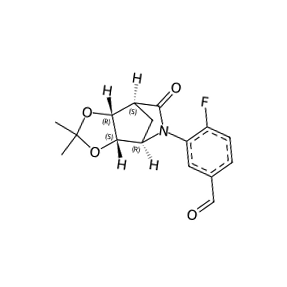 CC1(C)O[C@@H]2[C@H](O1)[C@@H]1C[C@H]2N(c2cc(C=O)ccc2F)C1=O